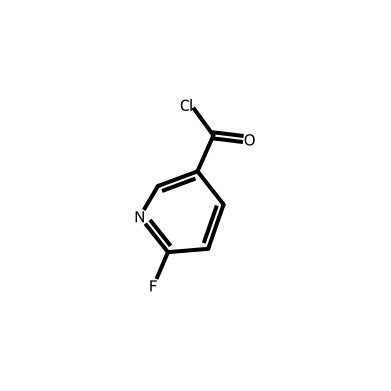 O=C(Cl)c1ccc(F)nc1